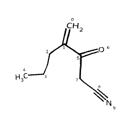 C=C(CCC)C(=O)CC#N